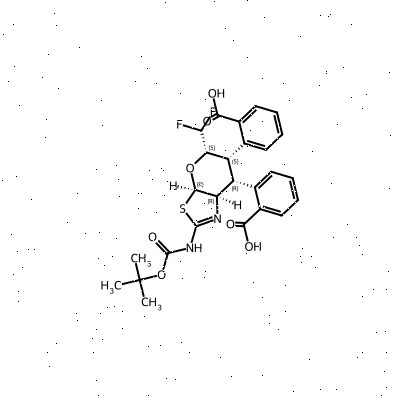 CC(C)(C)OC(=O)NC1=N[C@@H]2[C@@H](c3ccccc3C(=O)O)[C@@H](c3ccccc3C(=O)O)[C@@H](C(F)F)O[C@@H]2S1